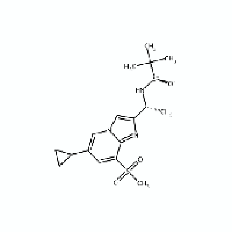 C[C@@H](N[S@+]([O-])C(C)(C)C)c1cn2cc(C3CC3)cc(S(C)(=O)=O)c2n1